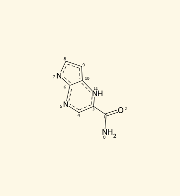 NC(=O)c1cnc2nccc-2[nH]1